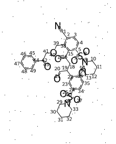 N#Cc1ccc(S(=O)(=O)N2CCCCC2)c(C(=O)CC(C=O)c2cc(S(=O)(=O)N3CCCCC3)ccc2Cl)c1COCC(=O)c1ccccc1